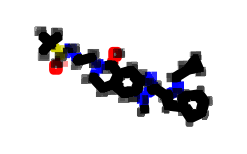 Cn1c(-c2cc3ccccc3n2CC2CC2)nc2cc3c(cc21)CCN(C/C=N/[S@+]([O-])C(C)(C)C)C3=O